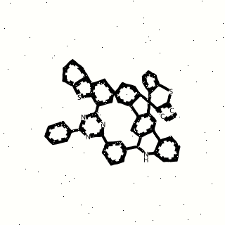 c1ccc(-c2nc(-c3cccc(C4Nc5ccccc5-c5cc6c(cc54)-c4ccccc4C64c5ccccc5Sc5ccccc54)c3)nc(-c3cccc4c3sc3ccccc34)n2)cc1